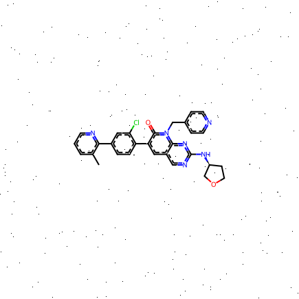 Cc1cccnc1-c1ccc(-c2cc3cnc(N[C@H]4CCOC4)nc3n(Cc3ccncc3)c2=O)c(Cl)c1